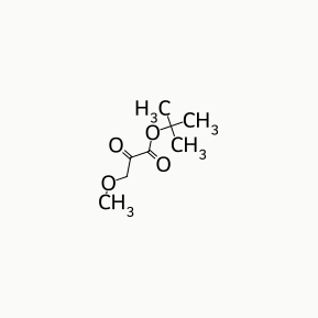 COCC(=O)C(=O)OC(C)(C)C